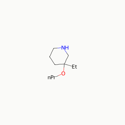 CCCOC1(CC)CCCNC1